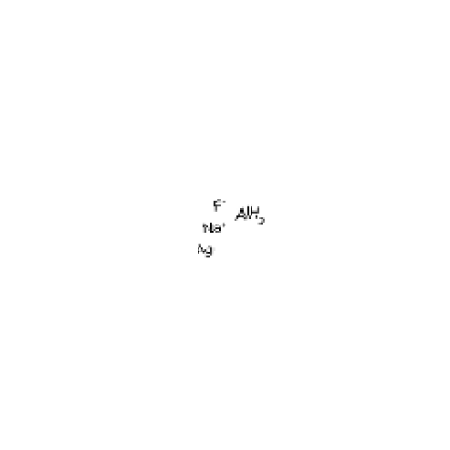 [Ag].[AlH3].[F-].[Na+]